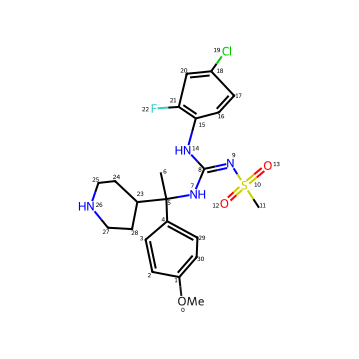 COc1ccc(C(C)(NC(=NS(C)(=O)=O)Nc2ccc(Cl)cc2F)C2CCNCC2)cc1